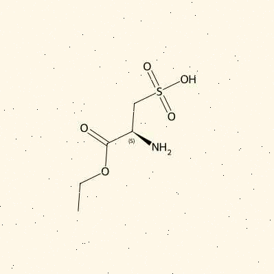 CCOC(=O)[C@H](N)CS(=O)(=O)O